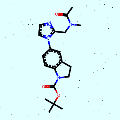 CC(=O)N(C)Cc1nccn1-c1ccc2c(c1)CCN2C(=O)OC(C)(C)C